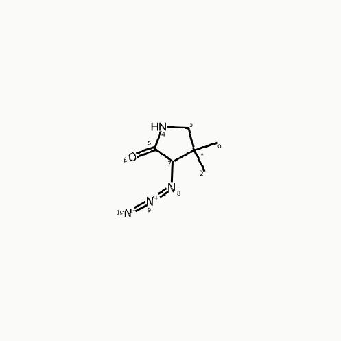 CC1(C)CNC(=O)C1N=[N+]=[N-]